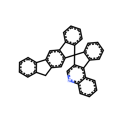 c1ccc2c(c1)Cc1cc3c(cc1-2)-c1ccccc1C31c2ccccc2-c2c1cnc1ccccc21